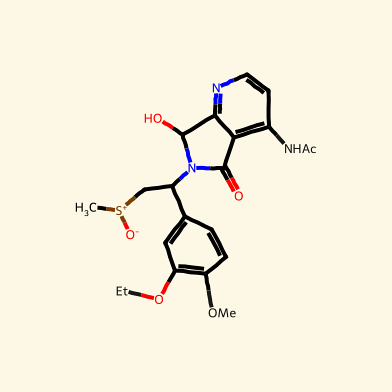 CCOc1cc(C(C[S+](C)[O-])N2C(=O)c3c(NC(C)=O)ccnc3C2O)ccc1OC